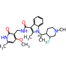 COc1cc(C)[nH]c(=O)c1CNC(=O)c1c(C)n([C@H](C)C2CCN(C)CC2F)c2ccccc12